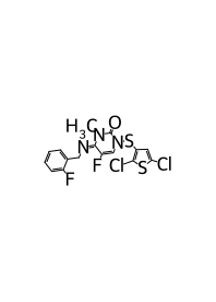 Cn1c(=O)n(Sc2cc(Cl)sc2Cl)cc(F)/c1=N\Cc1ccccc1F